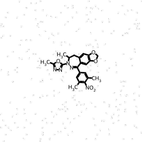 Cc1nnc(N2N=C(c3cc(C)c([N+](=O)[O-])c(C)c3)c3cc4c(cc3CC2C)OCO4)o1